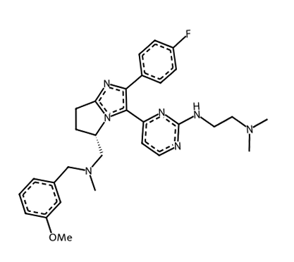 COc1cccc(CN(C)C[C@@H]2CCc3nc(-c4ccc(F)cc4)c(-c4ccnc(NCCN(C)C)n4)n32)c1